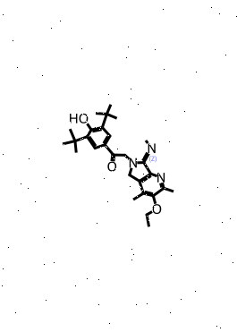 CCOc1c(C)nc2c(c1C)CN(CC(=O)c1cc(C(C)(C)C)c(O)c(C(C)(C)C)c1)/C2=N\C